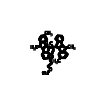 Cc1ccc2c(c1)C1C(C3C=CC=CC3C1[Si](C)(CCCCCCOC(C)(C)C)C1C3C=CC=CC3C3C1c1cc(C)ccc1N3C)N2C